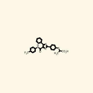 CC(Sc1ccc(-c2nc(C(=O)Nc3ccc(C(F)(F)F)cc3)c(-c3ccccc3)s2)cc1)C(=O)O